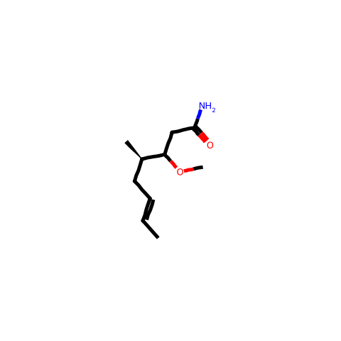 C/C=C/C[C@@H](C)C(CC(N)=O)OC